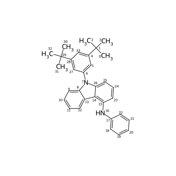 CC(C)(C)c1cc(-n2c3ccccc3c3c(Nc4ccccc4)cccc32)cc(C(C)(C)C)c1